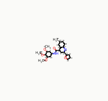 COc1cc(NC(=O)c2cc(-c3ccco3)nc3ccc(C)cc23)cc(OC)c1OC